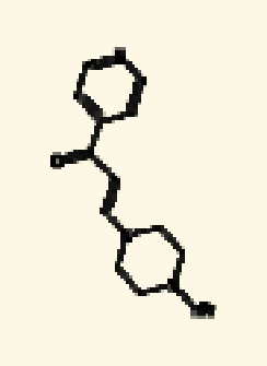 CCCN1CCN(C=CC(=O)c2ccncc2)CC1